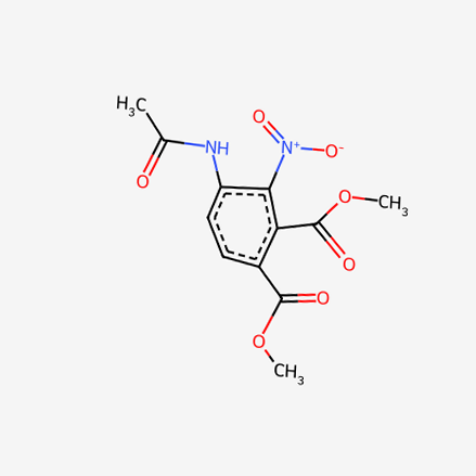 COC(=O)c1ccc(NC(C)=O)c([N+](=O)[O-])c1C(=O)OC